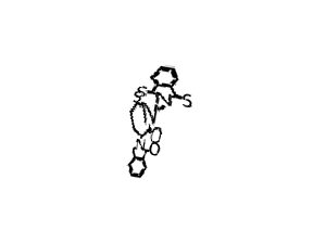 O=C1C(N2Cc3ccccc3C2=O)CCC(=S)N1CN1C(=S)c2ccccc2C1=S